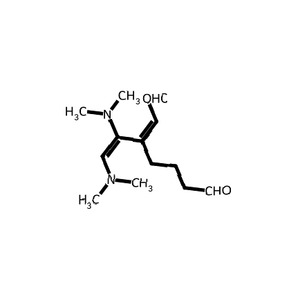 CN(C)/C=C(\C(=C/C=O)CCCC=O)N(C)C